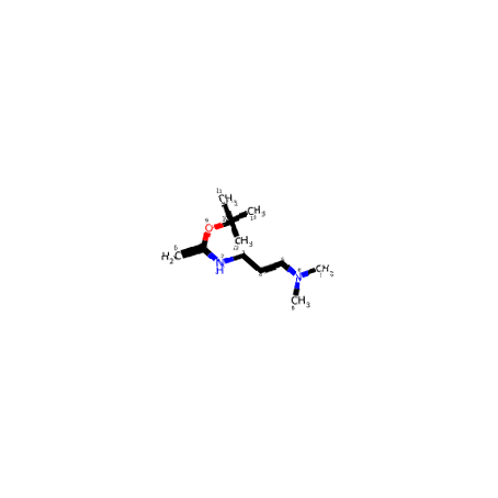 C=C(NCCCN(C)C)OC(C)(C)C